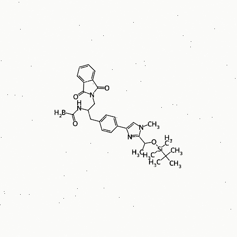 BC(=O)NC(Cc1ccc(-c2cn(C)c(C(C)O[Si](C)(C)C(C)(C)C)n2)cc1)CN1C(=O)c2ccccc2C1=O